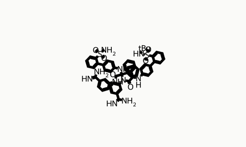 CC(C)(C)NS(=O)(=O)c1ccccc1-c1ccc(NC(C(=O)N(c2cccc(C(=N)N)c2)C(Nc2ccc(-c3ccccc3S(N)(=O)=O)cc2)(C(=O)Nc2cccc(C(=N)N)c2)c2ccccc2)c2ccccc2)cc1